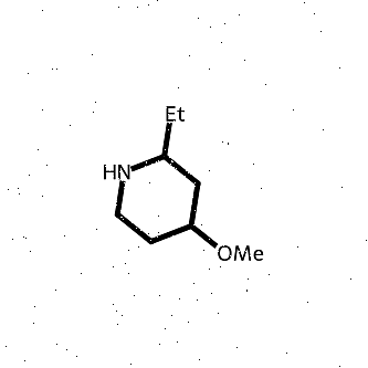 CCC1CC(OC)CCN1